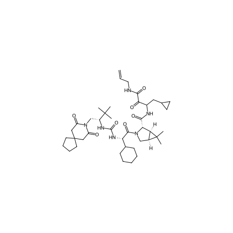 C=CCNC(=O)C(=O)C(CC1CC1)NC(=O)[C@@H]1[C@@H]2[C@H](CN1C(=O)[C@@H](NC(=O)N[C@H](CN1C(=O)CC3(CCCC3)CC1=O)C(C)(C)C)C1CCCCC1)C2(C)C